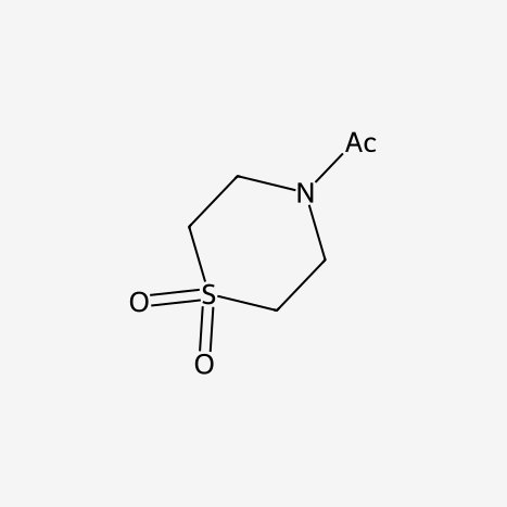 [CH2]C(=O)N1CCS(=O)(=O)CC1